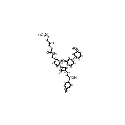 O=C(CCNCCS(=O)(=O)O)NCc1ccc(N2C(=O)[C@H](CC[C@H](O)c3ccc(F)cc3)[C@H]2c2ccc(-c3cccc(O)c3)cc2O)cc1